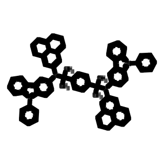 CC(C)(c1ccc(C(C)(C)N(c2cc3c4c(cccc4c2)CC=C3)c2ccc3c(c2)c2ccccc2n3-c2ccccc2)cc1)N(C1=CC2=CC=CC3=CC=CC(=C1)C32)c1ccc2c(c1)c1ccccc1n2-c1ccccc1